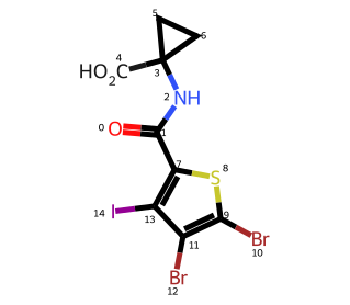 O=C(NC1(C(=O)O)CC1)c1sc(Br)c(Br)c1I